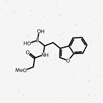 COCC(=O)NC(Cc1coc2ccccc12)B(O)O